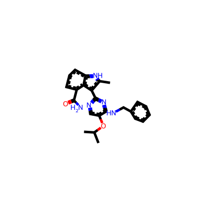 Cc1[nH]c2cccc(C(N)=O)c2c1-c1ncc(OC(C)C)c(NCc2ccccc2)n1